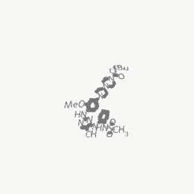 COc1cc(N2CCC(N3CCN(C(=O)OC(C)(C)C)CC3)CC2)ccc1Nc1ncc(Cl)c(Nc2ccccc2NS(C)(=O)=O)n1